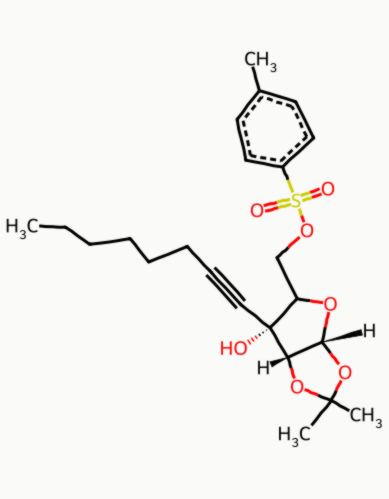 CCCCCCC#C[C@@]1(O)C(COS(=O)(=O)c2ccc(C)cc2)O[C@@H]2OC(C)(C)O[C@@H]21